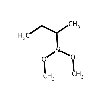 CCC(C)[Si](OC)OC